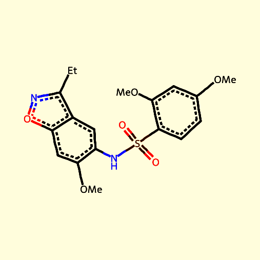 CCc1noc2cc(OC)c(NS(=O)(=O)c3ccc(OC)cc3OC)cc12